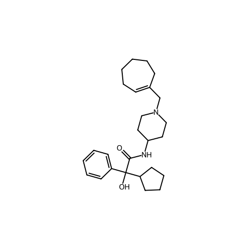 O=C(NC1CCN(CC2=CCCCCC2)CC1)C(O)(c1ccccc1)C1CCCC1